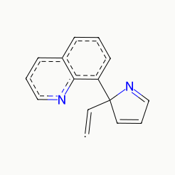 [CH]=CC1(c2cccc3cccnc23)C=CC=N1